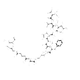 CCC(CO)OC(COC(=O)CCCC(=O)N[C@H](C)C(=O)OCCCNC(=O)[C@H](Cc1ccccc1)NC(=O)[C@H](C)[C@@H](OC)[C@@H]1CCCN1C(=O)C[C@@H](OC)[C@H]([C@@H](C)CC)N(C)C(=O)[C@@H](NC(=O)[C@H](C(C)C)N(C)C)C(C)C)OC